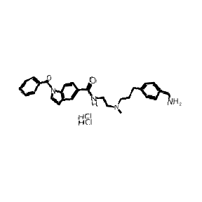 CN(CCCc1ccc(CN)cc1)CCNC(=O)c1ccc2c(ccn2C(=O)c2ccccc2)c1.Cl.Cl